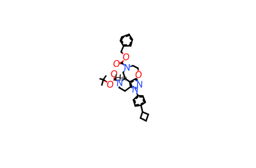 CC(C)(C)OC(=O)N1CCc2c3c(nn2-c2ccc(C4CCC4)cc2)OCCN(C(=O)OCc2ccccc2)C[C@@H]31